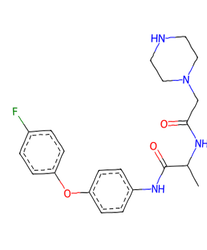 CC(NC(=O)CN1CCNCC1)C(=O)Nc1ccc(Oc2ccc(F)cc2)cc1